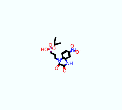 CCC(C)OP(=O)(O)CCCn1c(=O)c(=O)[nH]c2cc([N+](=O)[O-])ccc21